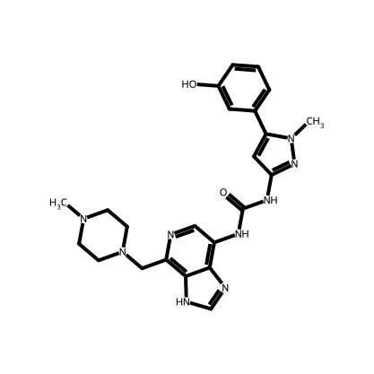 CN1CCN(Cc2ncc(NC(=O)Nc3cc(-c4cccc(O)c4)n(C)n3)c3nc[nH]c23)CC1